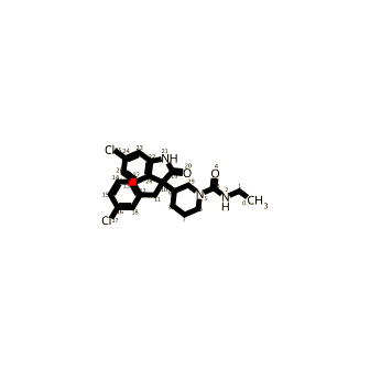 CCNC(=O)N1CCCC(C2(Cc3cccc(Cl)c3)C(=O)Nc3cc(Cl)ccc32)C1